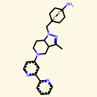 CC1=NN(CC23CCC(N)(CC2)CC3)C2CCN(c3ccnc(-c4ccccn4)c3)CC12